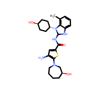 Cc1cccc2c1N([C@H]1CC[C@H](O)CC1)C(NC(=O)c1cc(N)c(N3CCCC[C@H](O)C3)s1)N2